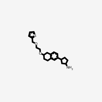 NC1CCC(c2ccc3c(c2)CCC(OCCOCc2cccs2)C3)C1